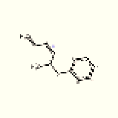 C=C/C=C\N(C)Cc1ccccc1